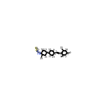 Cc1cc(C)c(C#Cc2ccc(-c3ccc(N=C=S)c(C)c3)cc2)c(C)c1